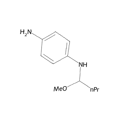 CCCC(Nc1ccc(N)cc1)OC